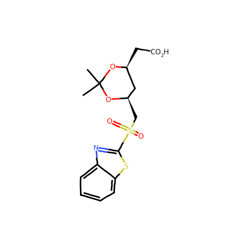 CC1(C)O[C@@H](CC(=O)O)C[C@@H](CS(=O)(=O)c2nc3ccccc3s2)O1